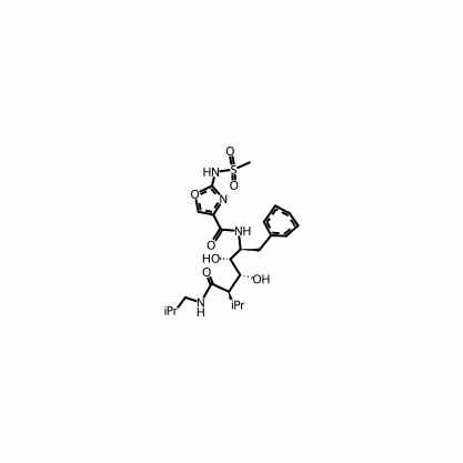 CC(C)CNC(=O)[C@H](C(C)C)[C@@H](O)[C@H](O)[C@H](Cc1ccccc1)NC(=O)c1coc(NS(C)(=O)=O)n1